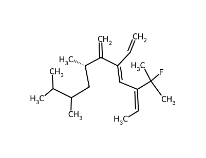 C=C/C(=C\C(=C/C)C(C)(C)F)C(=C)[C@@H](C)CC(C)C(C)C